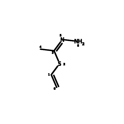 C=CS/C(C)=N\N